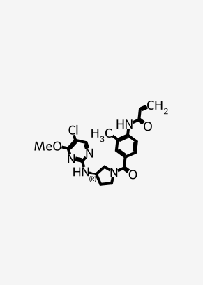 C=CC(=O)Nc1ccc(C(=O)N2CC[C@@H](Nc3ncc(Cl)c(OC)n3)C2)cc1C